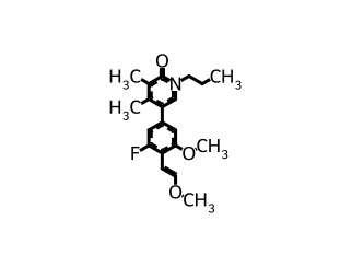 CCCn1cc(-c2cc(F)c(C=COC)c(OC)c2)c(C)c(C)c1=O